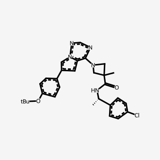 C[C@H](NC(=O)C1(C)CN(c2ncnn3cc(-c4ccc(OC(C)(C)C)cc4)cc23)C1)c1ccc(Cl)cc1